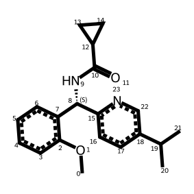 COc1ccccc1[C@H](NC(=O)C1CC1)c1ccc(C(C)C)cn1